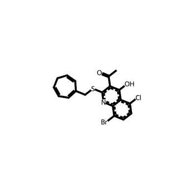 CC(=O)c1c(SCC2=CC=CCC=C2)nc2c(Br)ccc(Cl)c2c1O